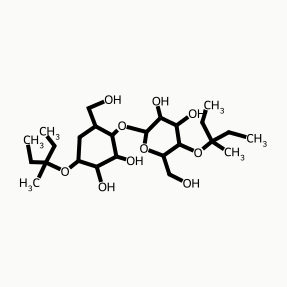 CCC(C)(CC)OC1CC(CO)C(OC2OC(CO)C(OC(C)(CC)CC)C(O)C2O)C(O)C1O